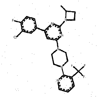 CC1CCN1c1nc(-c2ccc(F)c(Cl)c2)cc(N2CCN(c3ncccc3C(F)(F)F)CC2)n1